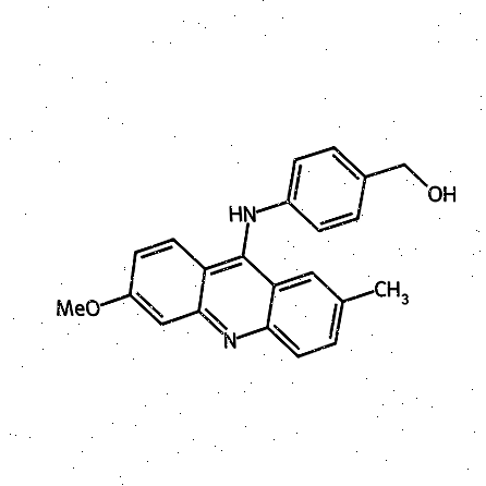 COc1ccc2c(Nc3ccc(CO)cc3)c3cc(C)ccc3nc2c1